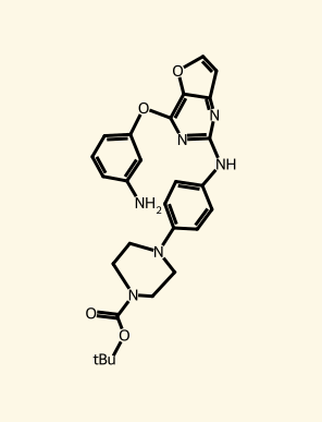 CC(C)(C)OC(=O)N1CCN(c2ccc(Nc3nc(Oc4cccc(N)c4)c4occc4n3)cc2)CC1